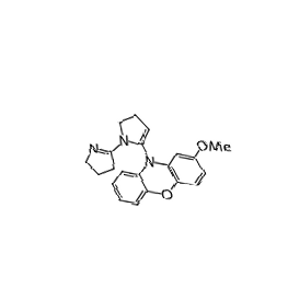 COc1ccc2c(c1)N(C1=CCCN1C1=NCCC1)c1ccccc1O2